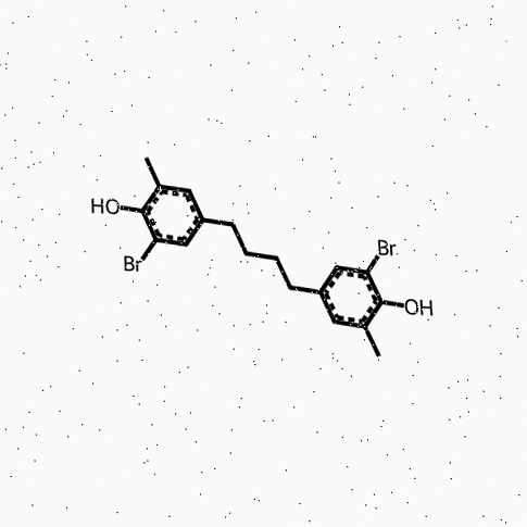 Cc1cc(CCCCc2cc(C)c(O)c(Br)c2)cc(Br)c1O